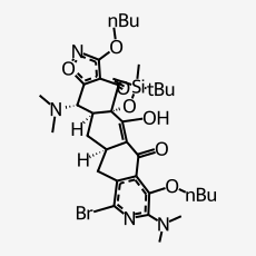 CCCCOc1noc2c1C(=O)[C@@]1(O[Si](C)(C)C(C)(C)C)C(O)=C3C(=O)c4c(c(Br)nc(N(C)C)c4OCCCC)C[C@H]3C[C@H]1[C@@H]2N(C)C